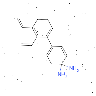 C=Cc1cccc(C2=CCC(N)(N)C=C2)c1C=C